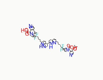 CC(C)OCc1ccncc1C(C(=O)O)N1CC[C@@H](C(F)(F)CCCCc2ccc3c(n2)NC(C2CCNc4nc(CCCCC(F)(F)[C@@H]5CCN(C(C(=O)O)c6cnccc6C6CC6)C5)ccc42)CC3)C1